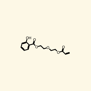 C=CC(=O)OCCOCCOC(=O)c1ccccc1O